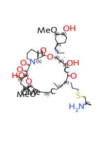 CO[C@H]1C[C@@H](C)C/C(C)=C/[C@@H](CCCSC[C@@H](C)N)C(=O)C[C@H](O)[C@@H](C)[C@@H](/C(C)=C/[C@@H]2CC[C@@H](O)[C@H](OC)C2)OC(=O)[C@@H]2CCCCN2C(=O)C(=O)[C@]2(O)O[C@H]1[C@@H](OC)C[C@H]2C